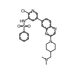 CN(C)CC1CCN(c2cnc3ccc(-c4cnc(Cl)c(NS(=O)(=O)c5ccccc5)c4)cc3n2)CC1